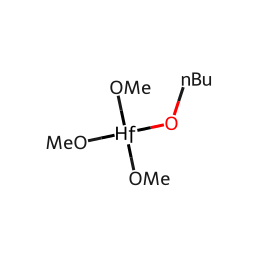 CCCC[O][Hf]([O]C)([O]C)[O]C